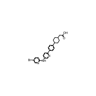 O=C(O)CC1CCC(c2ccc(-c3ccc(Nc4ccc(Br)cn4)cn3)cc2)CC1